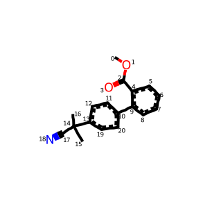 COC(=O)c1ccccc1-c1ccc(C(C)(C)C#N)cc1